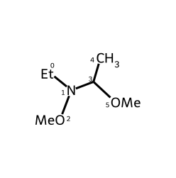 CCN(OC)C(C)OC